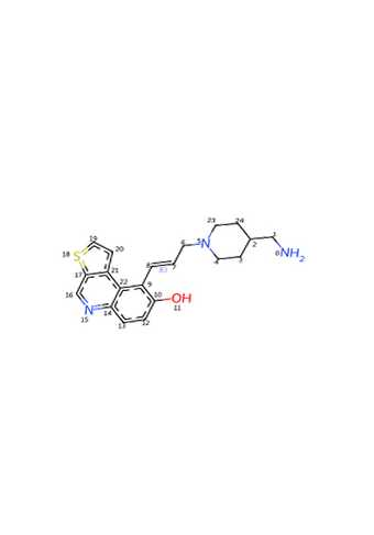 NCC1CCN(C/C=C/c2c(O)ccc3ncc4sccc4c23)CC1